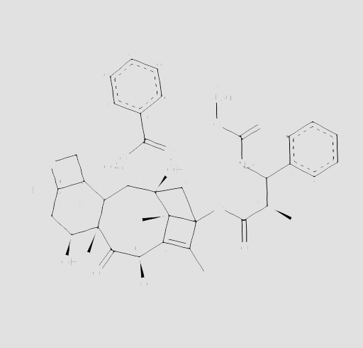 CC(=O)O[C@@]12CO[C@@H]1C[C@H](O)[C@@]1(C)C(=O)[C@H](O)C3=C(C)C4(OC(=O)[C@H](C)C(NC(=O)OC(C)(C)C)c5ccccc5)C[C@@](O)([C@@H](OC(=O)c5ccccc5)[C@H]21)[C@@]34C